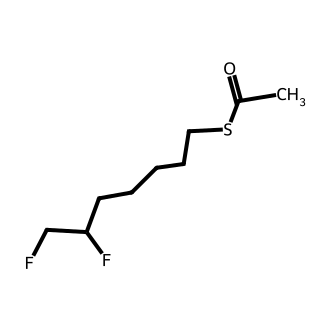 CC(=O)SCCCCCC(F)CF